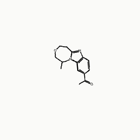 CC(=O)c1ccc2nc3n(c2c1)C(C)COCC3